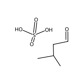 CC(C)CC=O.O=S(=O)(O)O